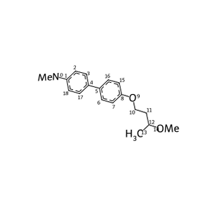 CNc1ccc(-c2ccc(OCCC(C)OC)cc2)cc1